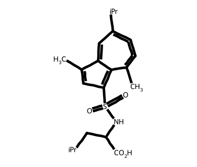 CC1=C=C=C(C(C)C)C=C2C(C)=CC(S(=O)(=O)NC(CC(C)C)C(=O)O)=C12